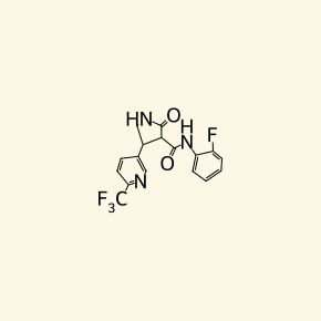 O=C1NCC(c2ccc(C(F)(F)F)nc2)C1C(=O)Nc1ccccc1F